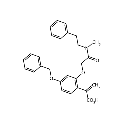 C=C(C(=O)O)c1ccc(OCc2ccccc2)cc1OCC(=O)N(C)CCc1ccccc1